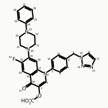 O=C(O)Oc1cn(-c2ccc(Cn3ccnn3)cc2)c2cc(N3CCN(c4ccccc4)CC3)c(F)cc2c1=O